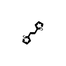 C(=Cc1cccs1)c1cccs1